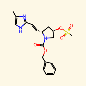 Cc1c[nH]c(C=C[C@@H]2C[C@@H](OS(C)(=O)=O)CN2C(=O)OCc2ccccc2)n1